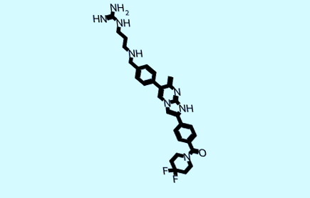 C=C1N=C2NC(c3ccc(C(=O)N4CCC(F)(F)CC4)cc3)=CN2C=C1c1ccc(CNCCCNC(=N)N)cc1